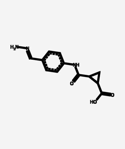 NN=Cc1ccc(NC(=O)C2CC2C(=O)O)cc1